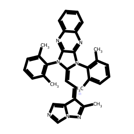 Cc1cccc(C)c1N1C(=C/C=c2/c(C)nn3cncc23)N(c2c(C)cccc2C)c2nc3ccccc3nc21